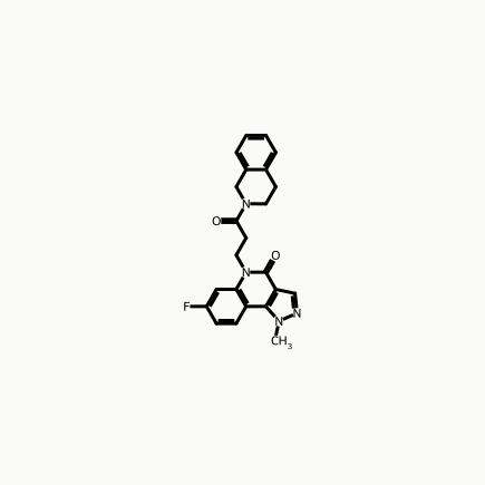 Cn1ncc2c(=O)n(CCC(=O)N3CCc4ccccc4C3)c3cc(F)ccc3c21